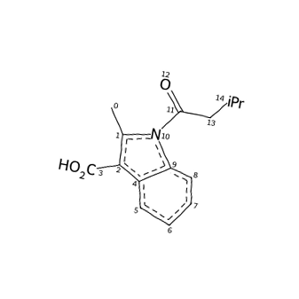 Cc1c(C(=O)O)c2ccccc2n1C(=O)CC(C)C